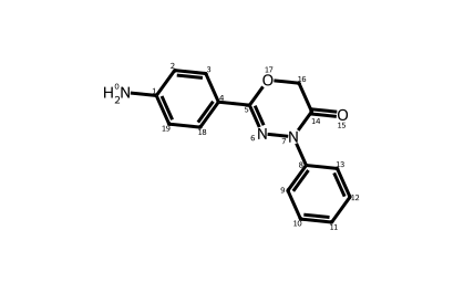 Nc1ccc(C2=NN(c3ccccc3)C(=O)CO2)cc1